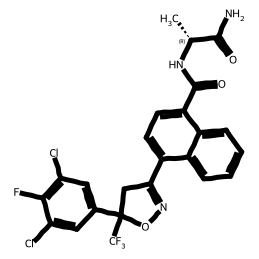 C[C@@H](NC(=O)c1ccc(C2=NOC(c3cc(Cl)c(F)c(Cl)c3)(C(F)(F)F)C2)c2ccccc12)C(N)=O